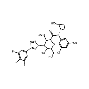 COC1C(C(=O)N(c2cc(Cl)cc(C#N)c2)[C@H]2CC[C@@H]2O)OC(CO)C(O)C1n1cc(-c2cc(F)c(F)c(F)c2)nn1